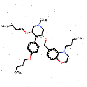 COCCCOc1ccc([C@@H]2[C@@H](OCc3ccc4c(c3)N(CCCOC)CCO4)CN(C(=O)O)C[C@H]2OCCCOC)cc1